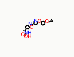 C[C@H](NC(=O)O)c1ccc2nc(-c3ccc(Oc4cccc(OCC5CC5)c4)nc3)oc2c1